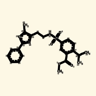 COC(=O)c1cc(S(=O)(=O)NCCc2nc(-c3ccccc3)oc2C)ccc1C(C)C